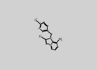 CCC1C[n+]2cccc([N+](=O)[O-])c2N1Cc1ccc(Cl)nc1